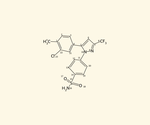 Cc1ccc(-c2cc(C(F)(F)F)nn2-c2ccc(S(N)(=O)=O)cc2)cc1Cl